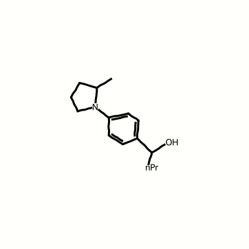 CCCC(O)c1ccc(N2CCCC2C)cc1